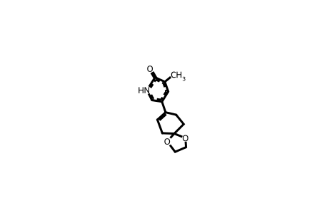 Cc1cc(C2=CCC3(CC2)OCCO3)c[nH]c1=O